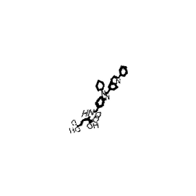 O=C(O)CCC(NC(=O)c1ccc2c(c1)nc(-c1ccc3nc(-c4ccccc4)ccc3c1)n2C1CCCCC1)C(=O)O